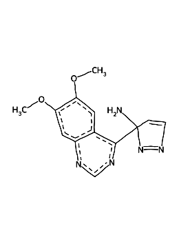 COc1cc2ncnc(C3(N)C=CN=N3)c2cc1OC